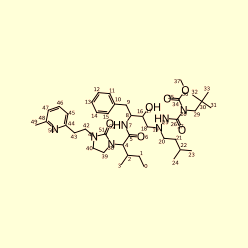 CCC(C)C(C(=O)NC(Cc1ccccc1)C(O)CN(CCC(C)C)NC(=O)N(CC(C)(C)C)C(=O)OC)N1CCN(CCc2cccc(C)n2)C1=O